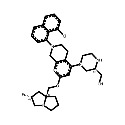 N#CC[C@H]1CN(c2cc(OC[C@@]34CCCN3C[C@H](F)C4)nc3c2CCN(c2cccc4cccc(Cl)c24)C3)CCN1